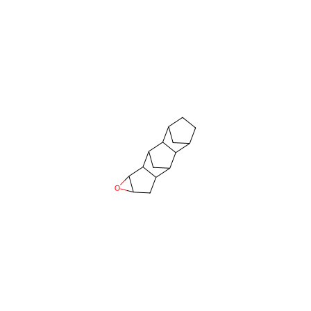 C1CC2CC1C1C3CC(C4C3CC3OC34)C21